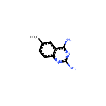 Nc1nc(N)c2cc(C(=O)O)ccc2n1